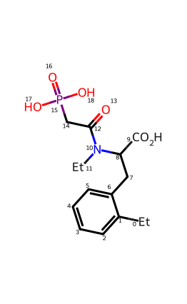 CCc1ccccc1CC(C(=O)O)N(CC)C(=O)CP(=O)(O)O